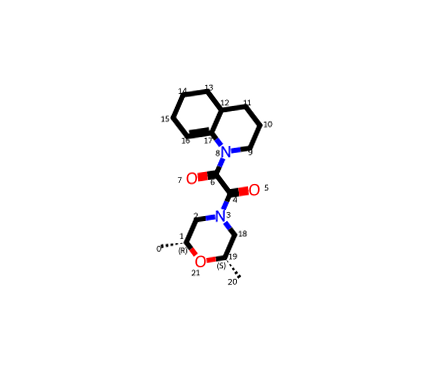 C[C@@H]1CN(C(=O)C(=O)N2CCCC3CCCC=C32)C[C@H](C)O1